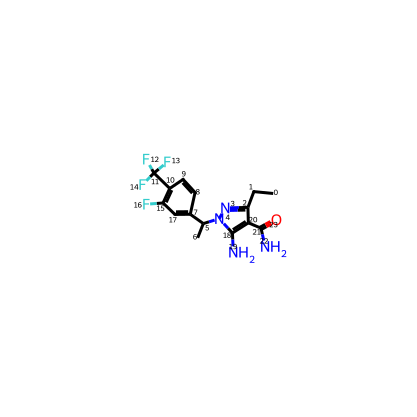 CCc1nn(C(C)c2ccc(C(F)(F)F)c(F)c2)c(N)c1C(N)=O